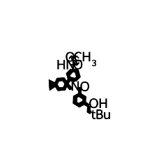 CC(C)(C)CC(O)c1cccc(C(=O)N2CC3(CCC4(CC4)CC3)c3cc(NS(C)(=O)=O)ccc32)c1